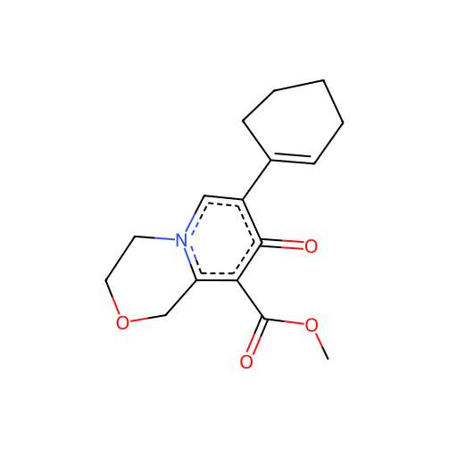 COC(=O)c1c2n(cc(C3=CCCCC3)c1=O)CCOC2